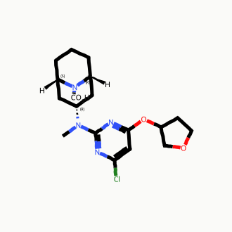 CN(c1nc(Cl)cc(OC2CCOC2)n1)[C@H]1C[C@H]2CCC[C@@H](C1)N2C(=O)O